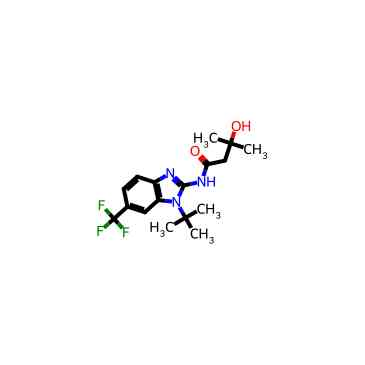 CC(C)(O)CC(=O)Nc1nc2ccc(C(F)(F)F)cc2n1C(C)(C)C